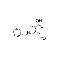 O=CCC1CN(Cc2ccccc2)CCN1C(=O)O